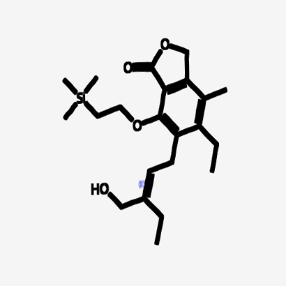 CC/C(=C\Cc1c(CC)c(C)c2c(c1OCC[Si](C)(C)C)C(=O)OC2)CO